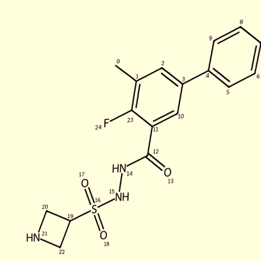 Cc1cc(-c2ccccc2)cc(C(=O)NNS(=O)(=O)C2CNC2)c1F